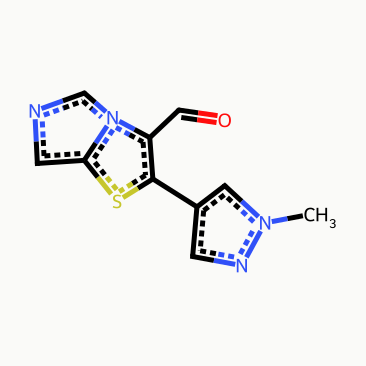 Cn1cc(-c2sc3cncn3c2C=O)cn1